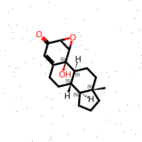 C[C@@]12CCC[C@H]1[C@@H]1CCC3=CC(=O)C4OC4[C@]3(O)[C@H]1CC2